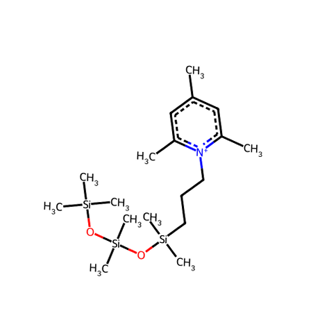 Cc1cc(C)[n+](CCC[Si](C)(C)O[Si](C)(C)O[Si](C)(C)C)c(C)c1